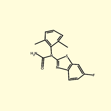 Cc1cccc(C)c1N(C(N)=O)c1nc2ccc(F)cc2s1